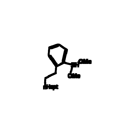 CCCCCCCCCc1ccccc1[SiH](OC)OC